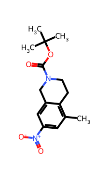 Cc1cc([N+](=O)[O-])cc2c1CCN(C(=O)OC(C)(C)C)C2